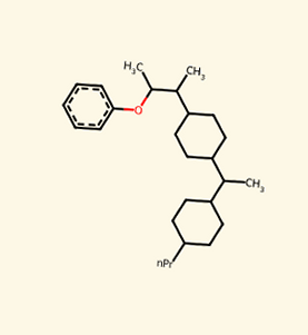 CCCC1CCC(C(C)C2CCC(C(C)C(C)Oc3ccccc3)CC2)CC1